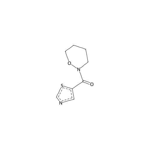 O=C(c1cncs1)N1CCCCO1